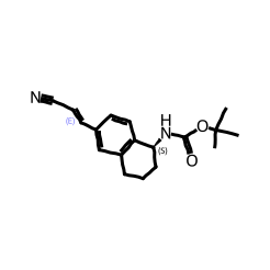 CC(C)(C)OC(=O)N[C@H]1CCCc2cc(/C=C/C#N)ccc21